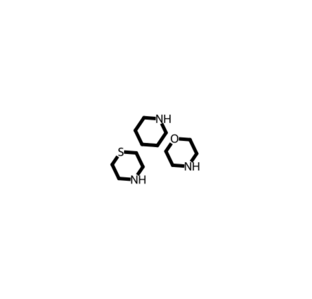 C1CCNCC1.C1COCCN1.C1CSCCN1